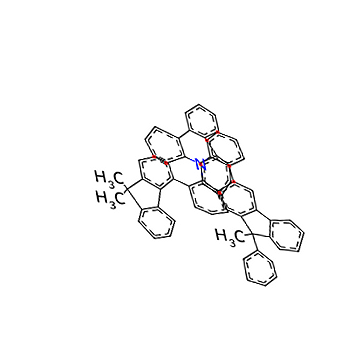 CC1(C)c2ccccc2-c2c(-c3ccccc3N(c3ccccc3-c3ccc4c(c3)-c3ccccc3C4(C)c3ccccc3)c3ccccc3-c3ccccc3-c3ccccc3)cccc21